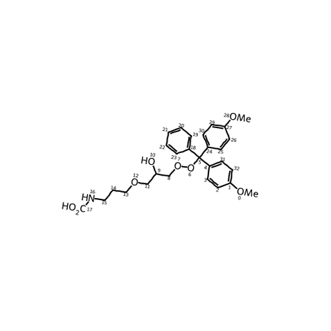 COc1ccc(C(OOCC(O)COCCCNC(=O)O)(c2ccccc2)c2ccc(OC)cc2)cc1